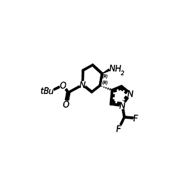 CC(C)(C)OC(=O)N1CC[C@@H](N)[C@H](c2cnn(C(F)F)c2)C1